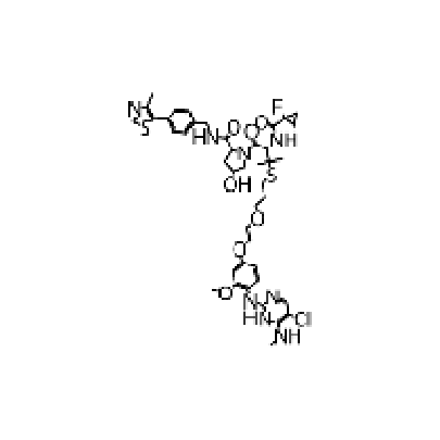 CNc1nc(Nc2ccc(OCCOCCCSC(C)(C)[C@@H](NC(=O)C3(F)CC3)C(=O)N3C[C@H](O)C[C@H]3C(=O)NCc3ccc(-c4scnc4C)cc3)cc2OC)ncc1Cl